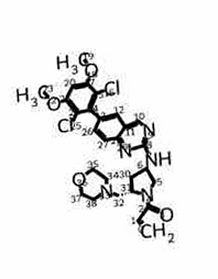 C=CC(=O)N1C[C@@H](Nc2ncc3cc(-c4c(Cl)c(OC)cc(OC)c4Cl)ccc3n2)C[C@H]1CN1CCOCC1